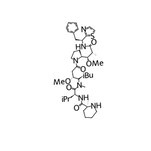 CC[C@H](C)C([C@@H](CC(=O)N1CCC[C@H]1[C@H](OC)[C@@H](C)C(=O)N[C@@H](Cc1ccccc1)c1nccs1)OC)N(C)C(=O)[C@@H](NC(=O)[C@]1(C)CCCCN1)C(C)C